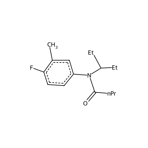 CCCC(=O)N(c1ccc(F)c(C)c1)C(CC)CC